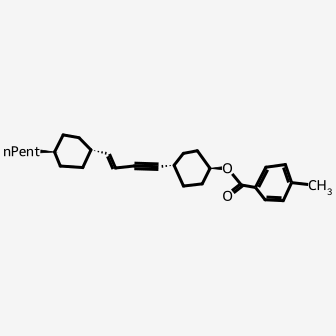 CCCCC[C@H]1CC[C@H](/C=C/C#C[C@H]2CC[C@H](OC(=O)c3ccc(C)cc3)CC2)CC1